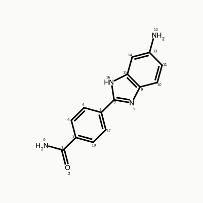 NC(=O)c1ccc(-c2nc3ccc(N)cc3[nH]2)cc1